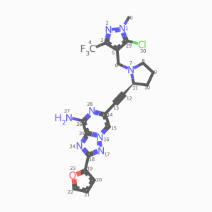 Cn1nc(C(F)(F)F)c(CN2CCC[C@H]2C#Cc2cn3nc(-c4ccco4)nc3c(N)n2)c1Cl